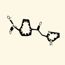 O=C(Cc1ncc[nH]1)c1ccc([N+](=O)[O-])cc1